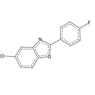 Fc1ccc(-c2nc3cc(Cl)ccc3o2)cc1